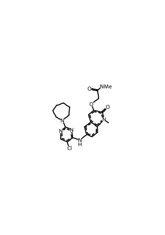 CNC(=O)COc1cc2cc(Nc3nc(N4CCCCCC4)ncc3Cl)ccc2n(C)c1=O